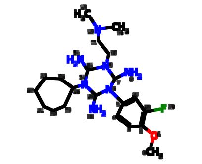 COc1ccc(N2C(N)N(CCN(C)C)C(N)N(C3CCCCCC3)C2N)cc1F